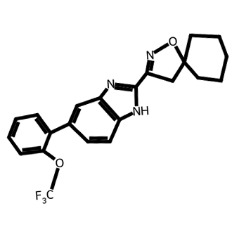 FC(F)(F)Oc1ccccc1-c1ccc2[nH]c(C3=NOC4(CCCCC4)C3)nc2c1